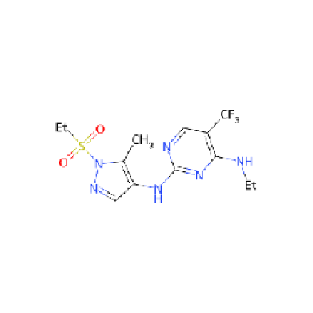 CCNc1nc(Nc2cnn(S(=O)(=O)CC)c2C)ncc1C(F)(F)F